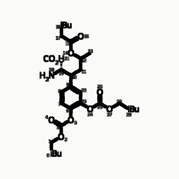 CCC(C)COC(=O)Oc1ccc(C(CC(C)OC(=O)CC(C)CC)[C@H](N)C(=O)O)cc1OC(=O)OCC(C)CC